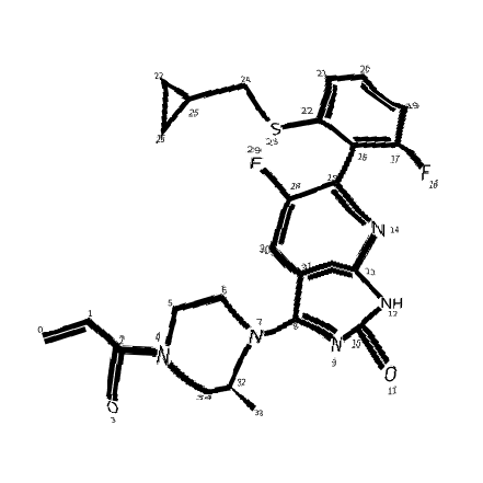 C=CC(=O)N1CCN(c2nc(=O)[nH]c3nc(-c4c(F)cccc4SCC4CC4)c(F)cc23)[C@@H](C)C1